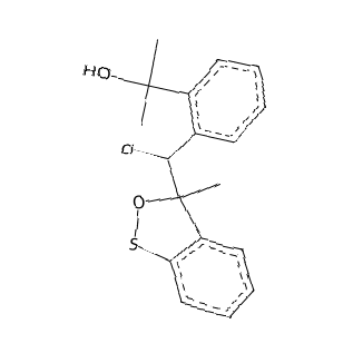 CC(C)(O)c1ccccc1C(Cl)C1(C)OSc2ccccc21